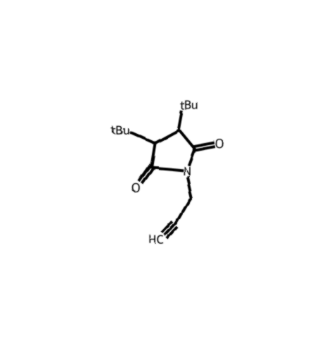 C#CCN1C(=O)C(C(C)(C)C)C(C(C)(C)C)C1=O